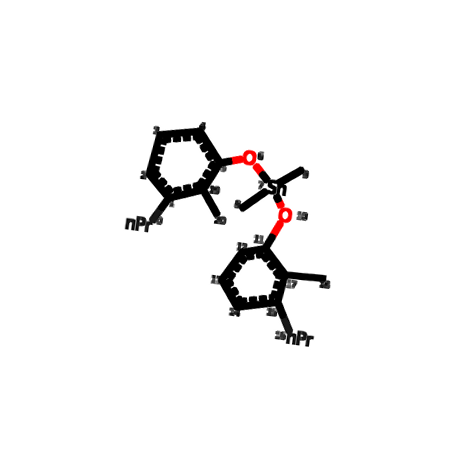 CCCc1cccc([O][Sn]([CH3])([CH3])[O]c2cccc(CCC)c2C)c1C